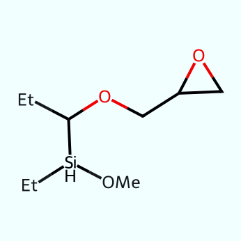 CCC(OCC1CO1)[SiH](CC)OC